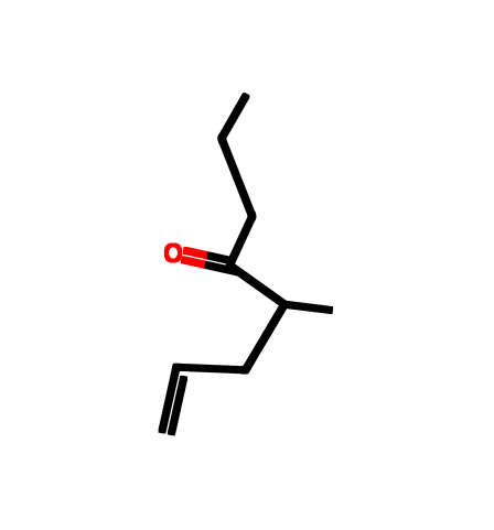 C=CCC(C)C(=O)CCC